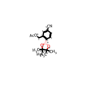 CC(=O)OCc1cc(C#N)ccc1B1OC(C)(C)C(C)(C)O1